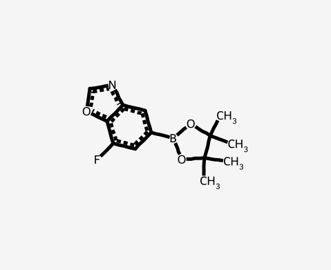 CC1(C)OB(c2cc(F)c3ocnc3c2)OC1(C)C